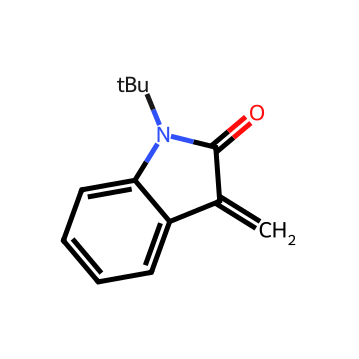 C=C1C(=O)N(C(C)(C)C)c2ccccc21